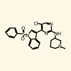 CN1CCCC(Nc2ncc(Cl)c(-c3cn(S(=O)(=O)c4ccccc4)c4ccccc34)n2)C1